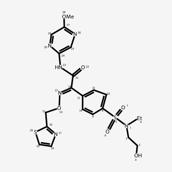 CCN(CCO)S(=O)(=O)c1ccc(/C(=N\OCc2nccs2)C(=O)Nc2cnc(OC)cn2)cc1